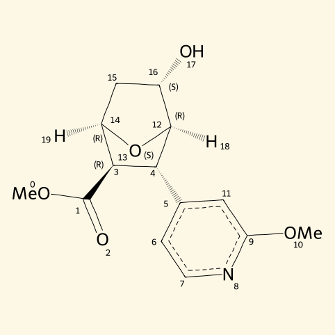 COC(=O)[C@@H]1[C@@H](c2ccnc(OC)c2)[C@H]2O[C@@H]1C[C@@H]2O